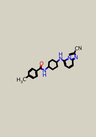 Cc1ccc(C(=O)NC2CCC(Nc3cccc4nc(C#N)cn34)CC2)cc1